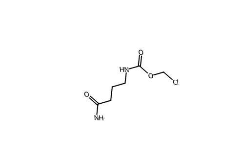 [NH]C(=O)CCCNC(=O)OCCl